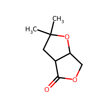 CC1(C)CC2C(=O)OCC2O1